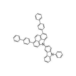 c1ccc(-c2ccc(-c3ccc4c5c3ccc3c(-c6ccc(-c7ccccc7)cc6)ccc(c35)n4-c3ccc4c(c3)c3ccccc3n4-c3ccccc3)cc2)cc1